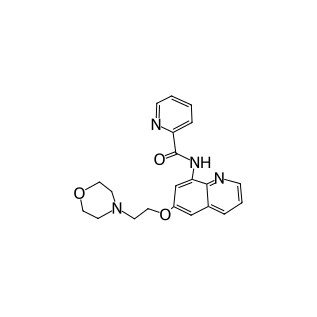 O=C(Nc1cc(OCCN2CCOCC2)cc2cccnc12)c1ccccn1